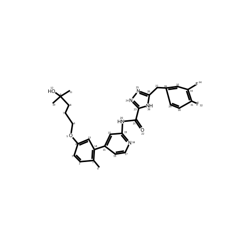 Cc1ccc(OCCCC(C)(C)O)cc1-c1ccnc(NC(=O)c2nnc(Cc3ccc(F)c(F)c3)[nH]2)c1